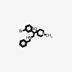 CN1CCC(O)(C(CNCc2ccccc2)c2cccc(Br)c2)CC1